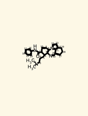 CN(C)CCCC1C2=C(C=CC1C(=O)Nc1ccccc1)n1ccc3c1C(=CCC3)C=N2